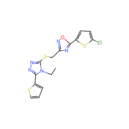 CCn1c(SCc2noc(-c3ccc(Cl)s3)n2)nnc1-c1cccs1